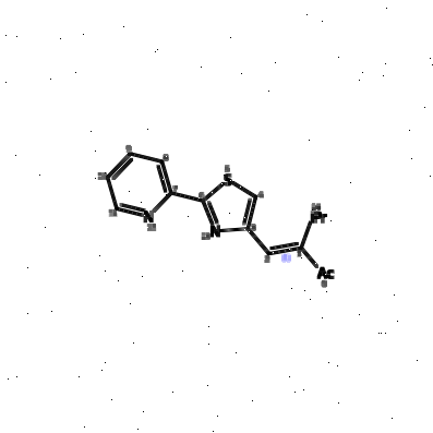 CC(=O)/C(=C/c1csc(-c2ccccn2)n1)C(C)C